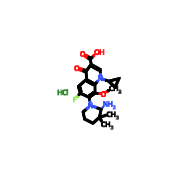 COc1c(N2CCCC(C)(C)[C@H]2N)c(F)cc2c(=O)c(C(=O)O)cn(C3CC3)c12.Cl